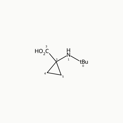 CC(C)(C)NC1(C(=O)O)CC1